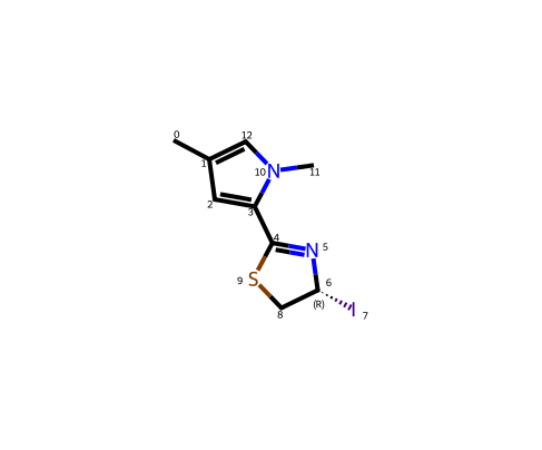 Cc1cc(C2=N[C@H](I)CS2)n(C)c1